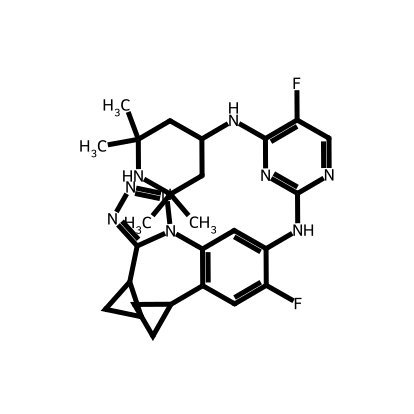 CC1(C)CC(Nc2nc(Nc3cc(-n4nnnc4C4CC4)c(C4CC4)cc3F)ncc2F)CC(C)(C)N1